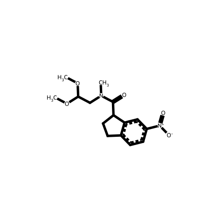 COC(CN(C)C(=O)C1CCc2ccc([N+](=O)[O-])cc21)OC